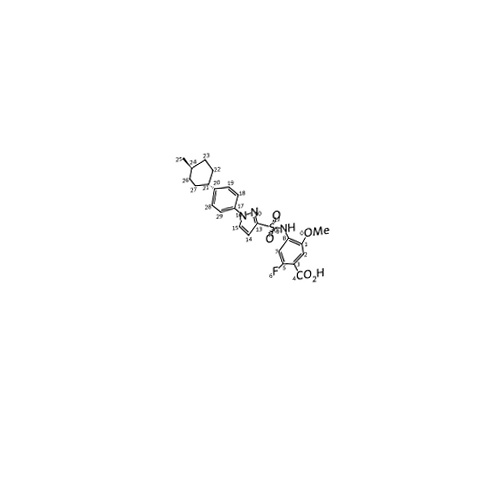 COc1cc(C(=O)O)c(F)cc1NS(=O)(=O)c1ccn(-c2ccc([C@H]3CC[C@H](C)CC3)cc2)n1